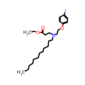 CCCCCCCCCCCCN(CCOc1ccc(I)cc1)CCC(=O)OCC